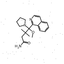 COC(c1nccc2ccccc12)(N1CCCC1)C(C)(C)CC(N)=O